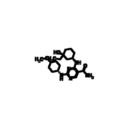 CC[C@]1(O)CCC[C@@H](Nc2nc(N[C@H]3CC[C@H](OC)CC3)ncc2C(N)=O)C1